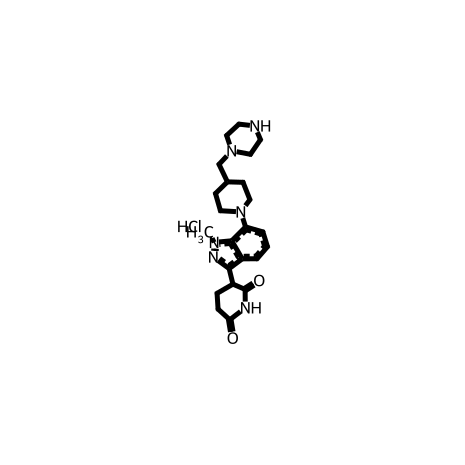 Cl.Cn1nc(C2CCC(=O)NC2=O)c2cccc(N3CCC(CN4CCNCC4)CC3)c21